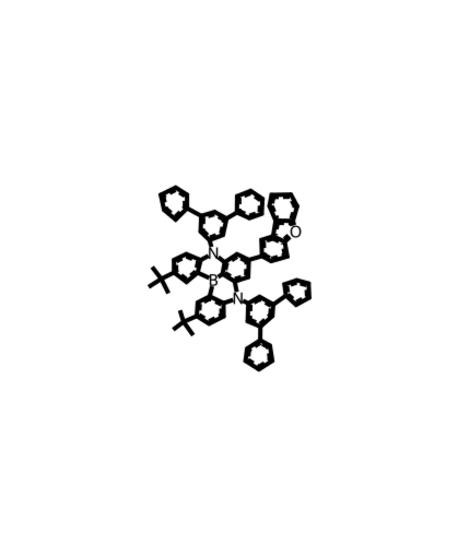 CC(C)(C)c1ccc2c(c1)B1c3cc(C(C)(C)C)ccc3N(c3cc(-c4ccccc4)cc(-c4ccccc4)c3)c3cc(-c4ccc5oc6ccccc6c5c4)cc(c31)N2c1cc(-c2ccccc2)cc(-c2ccccc2)c1